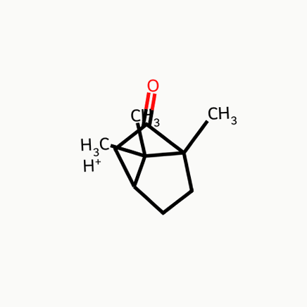 CC12CCC(CC1=O)C2(C)C.[H+]